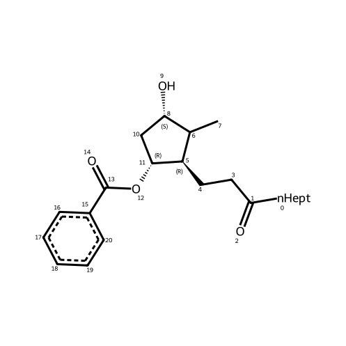 CCCCCCCC(=O)CC[C@@H]1C(C)[C@@H](O)C[C@H]1OC(=O)c1ccccc1